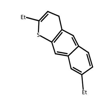 CCC1=CCc2cc3ccc(CC)cc3cc2S1